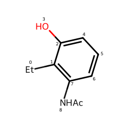 CCc1c(O)cccc1NC(C)=O